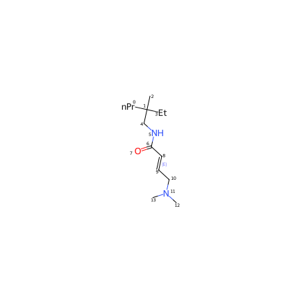 CCCC(C)(CC)CNC(=O)/C=C/CN(C)C